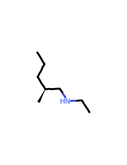 CCC[C@H](C)CNCC